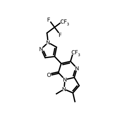 Cc1cc2nc(C(F)(F)F)c(-c3cnn(CC(F)(F)C(F)(F)F)c3)c(=O)n2n1C